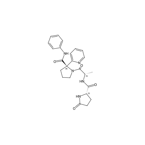 C[C@H](NC(=O)[C@@H]1CCC(=O)N1)C(=O)N1CCC[C@]1(C(=O)Nc1ccccc1)c1ccccn1